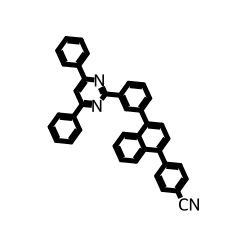 N#Cc1ccc(-c2ccc(-c3cccc(-c4nc(-c5ccccc5)cc(-c5ccccc5)n4)c3)c3ccccc23)cc1